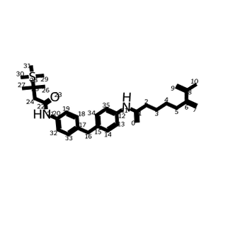 C=C(CCCCC(=C)C(=C)C)Nc1ccc(Cc2ccc(NC(=O)CC(C)(C)S(C)(C)C)cc2)cc1